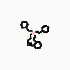 CCCC[B-](C=Cc1ccccc1)(C=Cc1ccccc1)C=Cc1ccccc1